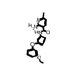 CCOc1cccc(Oc2cccc(NC(=O)c3ccc(C)nc3N)c2)c1